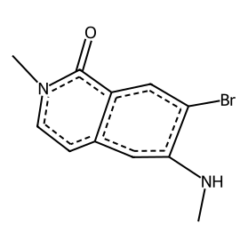 CNc1cc2ccn(C)c(=O)c2cc1Br